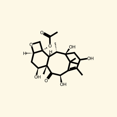 CC(=O)O[C@@]12CO[C@@H]1C[C@H](O)[C@@]1(C)C(=O)[C@H](O)C3=C(C)C(O)C[C@@](O)([C@@H](C)[C@H]21)C3(C)C